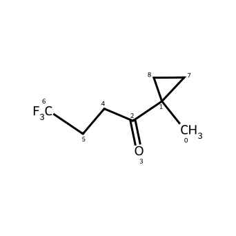 CC1(C(=O)CCC(F)(F)F)CC1